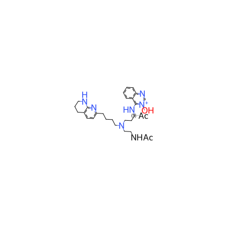 CC(=O)NCCN(CCCCc1ccc2c(n1)NCCC2)CC[C@H](Nc1c2ccccc2nc[n+]1O)C(C)=O